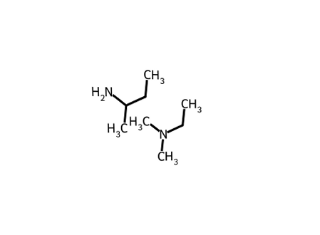 CCC(C)N.CCN(C)C